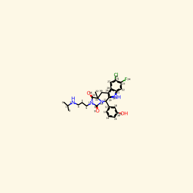 CC(C)NCCCN1C(=O)N2C(c3cccc(O)c3)c3[nH]c4cc(F)c(Cl)cc4c3CC2(C)C1=O